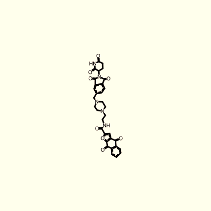 O=C1CCC(N2C(=O)c3ccc(CN4CCN(CCNC(=O)c5cc6c(o5)C(=O)c5ccccc5C6=O)CC4)cc3C2=O)C(=O)N1